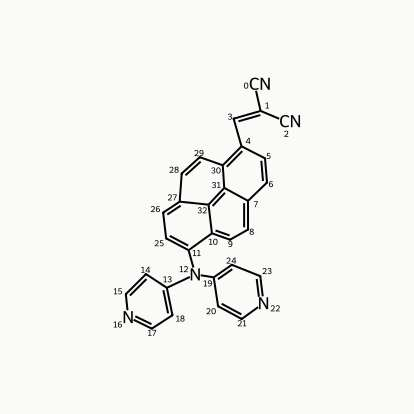 N#CC(C#N)=Cc1ccc2ccc3c(N(c4ccncc4)c4ccncc4)ccc4ccc1c2c43